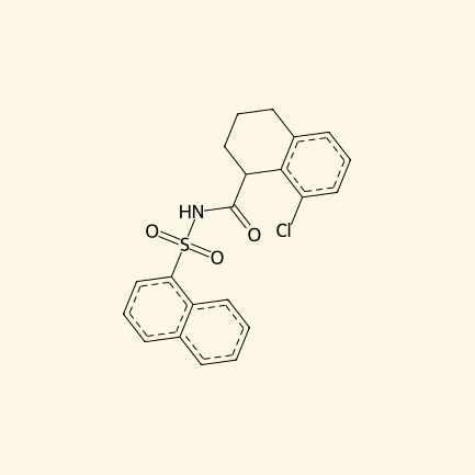 O=C(NS(=O)(=O)c1cccc2ccccc12)C1CCCc2cccc(Cl)c21